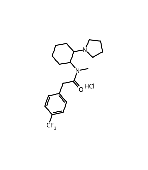 CN(C(=O)Cc1ccc(C(F)(F)F)cc1)C1CCCCC1N1CCCC1.Cl